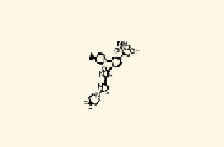 NS(=O)(=O)C(CO)c1ccc(-c2nc(-c3csc(N4CCC(F)(F)CC4)n3)no2)c(N2CCC3(CC2)CC3)c1